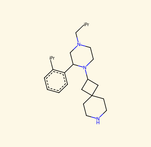 CC(C)CN1CCN(C2CC3(CCNCC3)C2)C(c2ccccc2C(C)C)C1